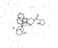 Cc1nc2ccccc2n1[C@H]1C[C@H]2CC[C@@H](C1)N2CCC1(c2ccccc2)CCN(C(=O)C2CCCN2)CC1